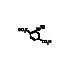 F.F.O=C(O)c1ccc(C(=O)O)cc1